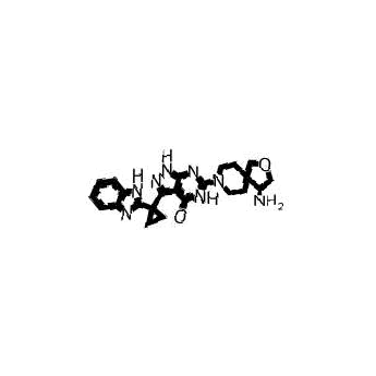 N[C@@H]1COCC12CCN(c1nc3[nH]nc(C4(c5nc6ccccc6[nH]5)CC4)c3c(=O)[nH]1)CC2